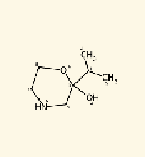 CC(C)C1(O)CNCCO1